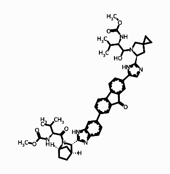 COC(=O)N[C@H](C(C)C)C(O)N1CC2(CC2)C[C@H]1c1ncc(-c2ccc3c(c2)C(=O)c2cc(-c4ccc5nc([C@@H]6[C@H]7CC[C@H](C7)N6C(=O)[C@@H](NC(=O)OC)C(C)C)[nH]c5c4)ccc2-3)[nH]1